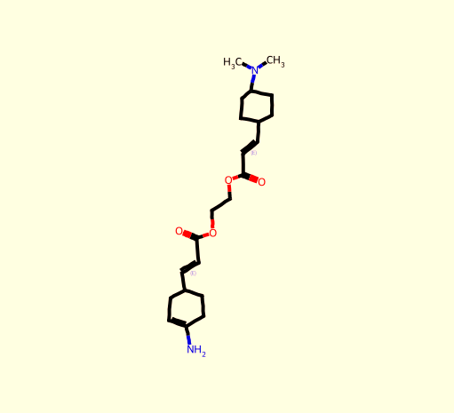 CN(C)C1CCC(/C=C/C(=O)OCCOC(=O)/C=C/C2CC=C(N)CC2)CC1